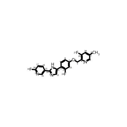 Cc1cnc(COc2ccc(-c3cnc(-c4ccc(F)nc4)[nH]3)c(F)c2)c(F)c1